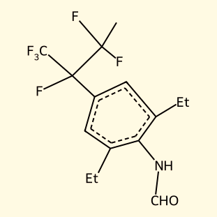 CCc1cc(C(F)(C(C)(F)F)C(F)(F)F)cc(CC)c1NC=O